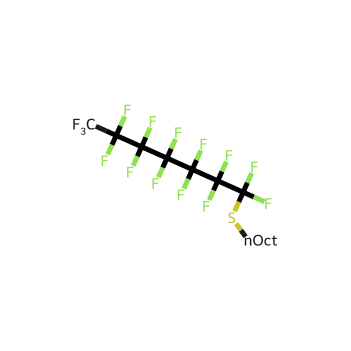 CCCCCCCCSC(F)(F)C(F)(F)C(F)(F)C(F)(F)C(F)(F)C(F)(F)C(F)(F)F